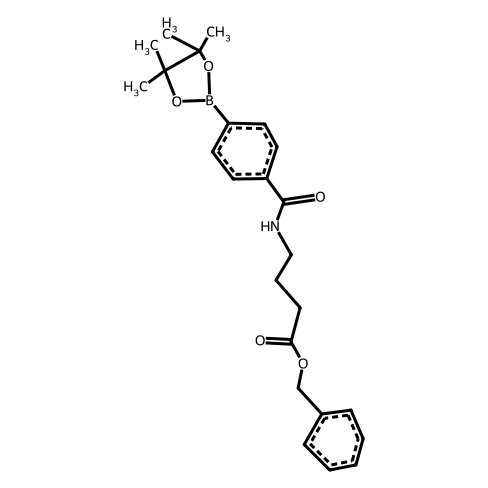 CC1(C)OB(c2ccc(C(=O)NCCCC(=O)OCc3ccccc3)cc2)OC1(C)C